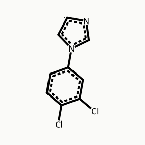 Clc1ccc(-n2c[c]nc2)cc1Cl